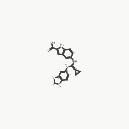 O=C(O)c1cc2cc(NC(Oc3ccc4c(c3)OCO4)=C3CC3)ccc2[nH]1